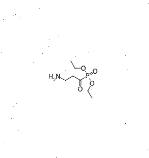 CCOP(=O)(OCC)C(=O)CCN